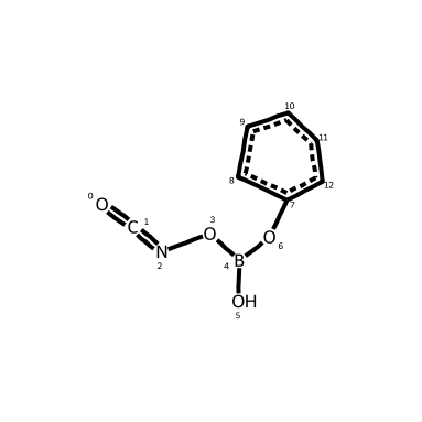 O=C=NOB(O)Oc1ccccc1